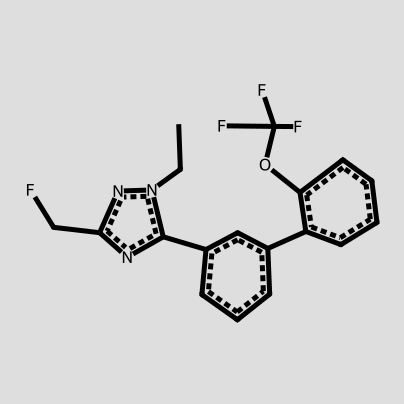 CCn1nc(CF)nc1-c1cccc(-c2ccccc2OC(F)(F)F)c1